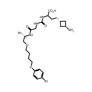 CCc1ccc(OCCCCOC[C@@H](NC(=O)CNC(=O)NC(CC[C@H]2C[C@H](N)C2)C(=O)O)C(C)C)cc1